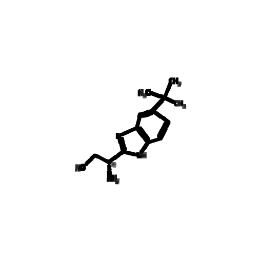 CC(C)(C)c1ccc2[nH]c([C@@H](N)CO)nc2c1